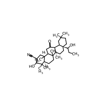 CCC(O)[C@]12CCC(C)(C)CC1C1C(=O)C[C@@H]3C4(C)CC(C#N)=C(O)C(C)(C)[C@@H]4CCC3(C)[C@]1(C)CC2